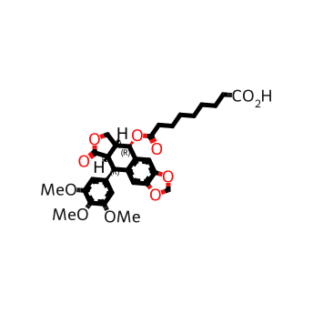 COc1cc([C@@H]2c3cc4c(cc3[C@H](OC(=O)CCCCCCCC(=O)O)[C@H]3COC(=O)[C@@H]23)OCO4)cc(OC)c1OC